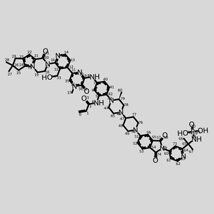 C=CC(=O)Nc1cc(Nc2nc(-c3ccnc(N4CCn5c(cc6c5CC(C)(C)C6)C4=O)c3CO)cn(C)c2=O)ccc1N1CCN(C2CCN(c3ccc4c(c3)C(=O)N(c3ccnc(C(C)(C)NP(=O)(O)O)c3)C4=O)CC2)C[C@@H]1C